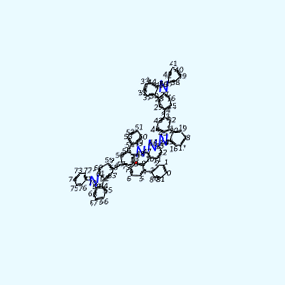 c1ccc(-c2ccccc2-c2ccc(-n3c4ccccc4c4cc(-c5ccc6c(c5)c5ccccc5n6-c5ccccc5)ccc43)nc2-n2c3ccccc3c3cc(-c4ccc5c(c4)c4ccccc4n5-c4ccccc4)ccc32)cc1